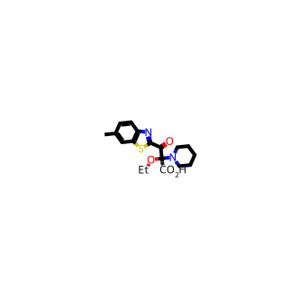 CCOC(C(=O)O)(C(=O)c1nc2ccc(C)cc2s1)N1CCCCC1